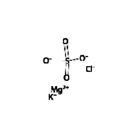 O=S(=O)([O-])[O-].[Cl-].[K+].[Mg+2]